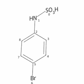 O=S(=O)(O)Nc1ccc(Br)cc1